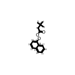 CC(C)(C)CC(=O)OOc1cccc2ccccc12